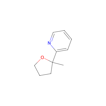 CC1(c2ccccn2)CCCO1